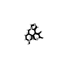 C/C=C\C(=C(\C)C(C)F)c1cncn1CC1CCN(C)CC1